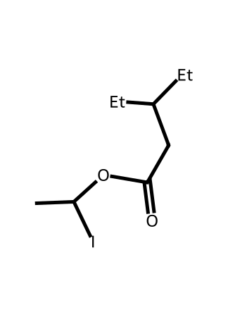 CCC(CC)CC(=O)OC(C)I